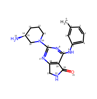 Cc1cccc(Nc2nc(N3CCC[C@H](N)C3)nc3c2C(=O)NC3)c1